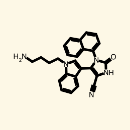 N#Cc1[nH]c(=O)n(-c2cccc3ccccc23)c1-c1cn(CCCCN)c2ccccc12